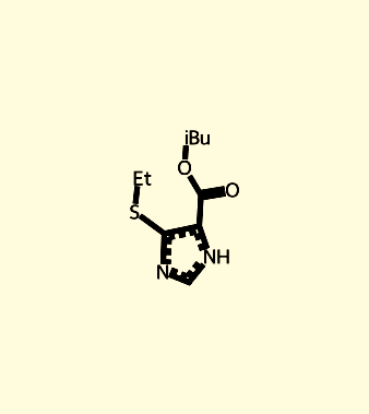 CCSc1nc[nH]c1C(=O)OC(C)CC